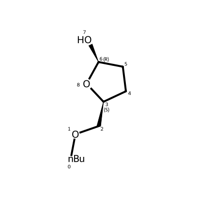 CCCCOC[C@@H]1CC[C@H](O)O1